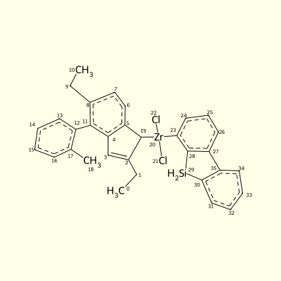 CCC1=Cc2c(ccc(CC)c2-c2ccccc2C)[CH]1[Zr]([Cl])([Cl])[c]1cccc2c1[SiH2]c1ccccc1-2